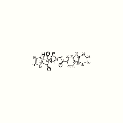 O=C(C[C@@H](CN1C(=O)c2ccccc2C1=O)C(=O)O)c1ccc2c(c1)CC1=C2CCCC1